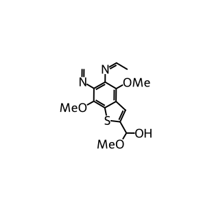 C=Nc1c(/N=C\C)c(OC)c2cc(C(O)OC)sc2c1OC